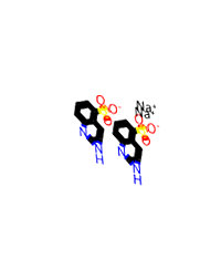 O=S(=O)([O-])c1cccc2nc3c(cc12)N3.O=S(=O)([O-])c1cccc2nc3c(cc12)N3.[Na+].[Na+]